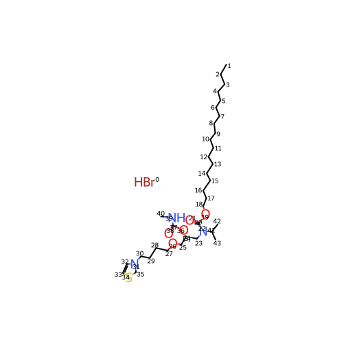 Br.CCCCCCCCCCCCCCCCCCOC(=O)N(C[C@@H](COCCCCN1C=CSC1)OC(=O)NC)C(C)C